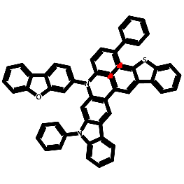 c1ccc(-c2ccc(N(c3ccc4c(c3)oc3ccccc34)c3cc4c(cc3-c3ccc5sc6ccccc6c5c3)c3ccccc3n4-c3ccccc3)cc2)cc1